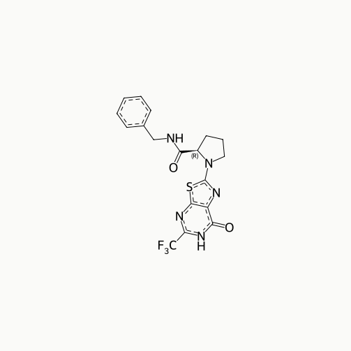 O=C(NCc1ccccc1)[C@H]1CCCN1c1nc2c(=O)[nH]c(C(F)(F)F)nc2s1